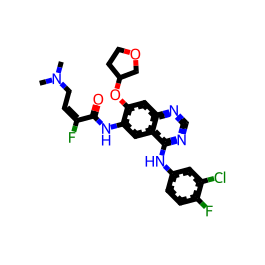 CN(C)C/C=C(/F)C(=O)Nc1cc2c(Nc3ccc(F)c(Cl)c3)ncnc2cc1OC1CCOC1